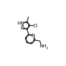 Cc1[nH]nc(-c2cccc(CN)n2)c1Cl